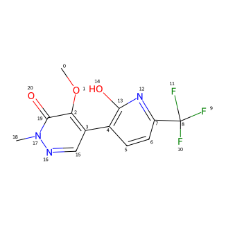 COc1c(-c2ccc(C(F)(F)F)nc2O)cnn(C)c1=O